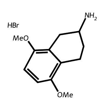 Br.COc1ccc(OC)c2c1CCC(N)C2